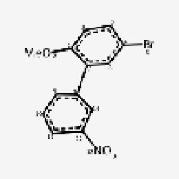 COc1ccc(Br)cc1-c1cccc([N+](=O)[O-])c1